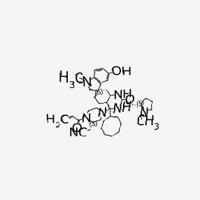 C=CC(=O)N1CCN(C2(C3CCCCCCC3)NC(OC[C@@H]3CCCN3C)NC3C[C@]4(CCC32)CN(C)c2ccc(O)cc24)C[C@@H]1CC#N